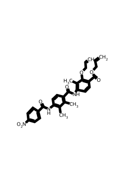 C=CCOC(=O)c1ccc(NC(=O)c2ccc(NC(=O)c3ccc([N+](=O)[O-])cc3)c(C)c2C)c(C)c1OCC=C